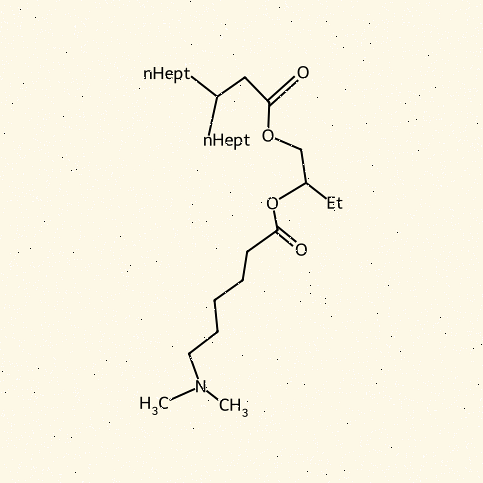 CCCCCCCC(CCCCCCC)CC(=O)OCC(CC)OC(=O)CCCCCN(C)C